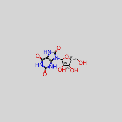 O=c1[nH]c(=O)c2[nH]c(=O)n(C3O[C@H](CO)[C@@H](O)[C@H]3O)c2[nH]1